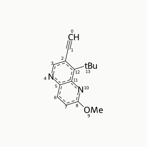 C#Cc1cnc2ccc(OC)nc2c1C(C)(C)C